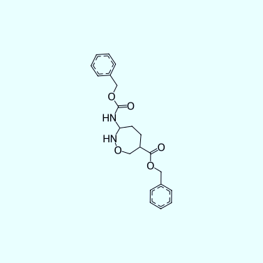 O=C(NC1CCC(C(=O)OCc2ccccc2)CON1)OCc1ccccc1